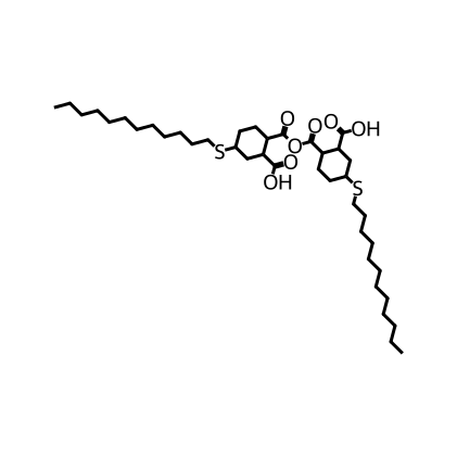 CCCCCCCCCCCCSC1CCC(C(=O)OC(=O)C2CCC(SCCCCCCCCCCCC)CC2C(=O)O)C(C(=O)O)C1